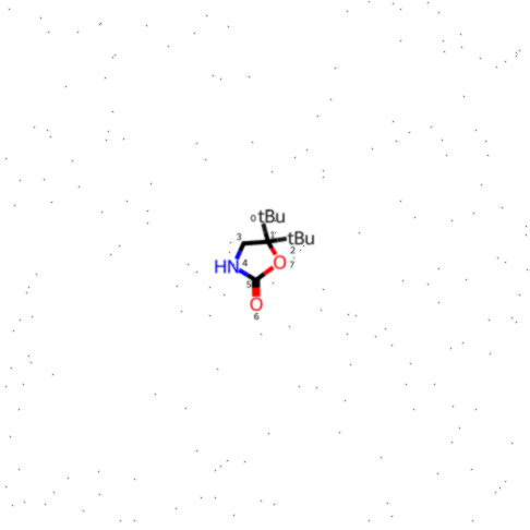 CC(C)(C)C1(C(C)(C)C)CNC(=O)O1